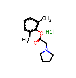 Cc1cccc(C)c1OC(=O)CN1CCCC1.Cl